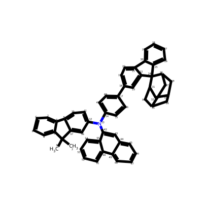 CC1(C)c2ccccc2-c2ccc(N(c3ccc(-c4ccc5c(c4)C4(c6ccccc6-5)C5CC6CC(C5)CC4C6)cc3)c3cc4ccccc4c4ccccc34)cc21